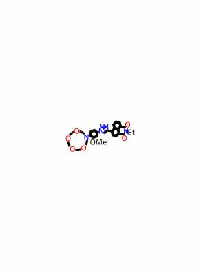 CCN1C(=O)c2cccc3c(-c4cn(-c5ccc(N6CCOCCOCCOCCOCC6)c(OC)c5)nn4)ccc(c23)C1=O